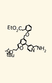 CCOC(=O)Cc1ccccc1OCc1cc(-c2ccnc(CN)c2)c2oc(CCO[Si](C)(C)C(C)(C)C)cc2c1